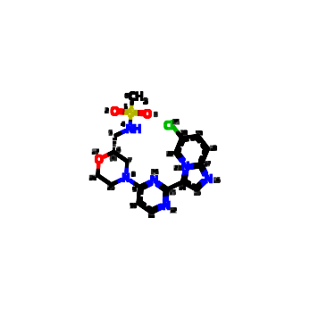 CS(=O)(=O)NC[C@@H]1CN(c2ccnc(-c3cnc4ccc(Cl)cn34)n2)CCO1